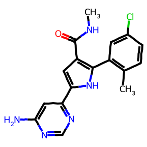 CNC(=O)c1cc(-c2cc(N)ncn2)[nH]c1-c1cc(Cl)ccc1C